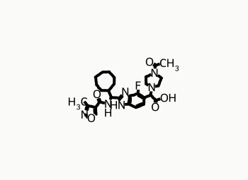 CC(=O)N1CCN(C(C(=O)O)c2ccc3[nH]c(C(NC(=O)c4conc4C)C4CCCCCCC4)nc3c2F)CC1